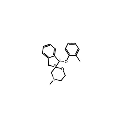 Cc1ccccc1O[C@H]1c2ccccc2C[C@@]12CN(C)CCO2